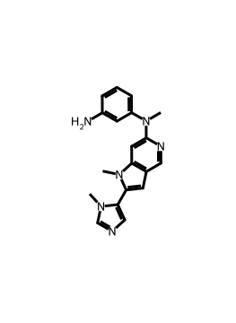 CN(c1cccc(N)c1)c1cc2c(cn1)cc(-c1cncn1C)n2C